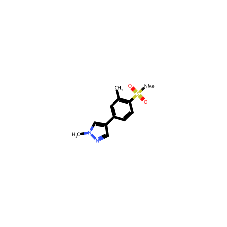 CNS(=O)(=O)c1ccc(-c2cnn(C)c2)cc1C